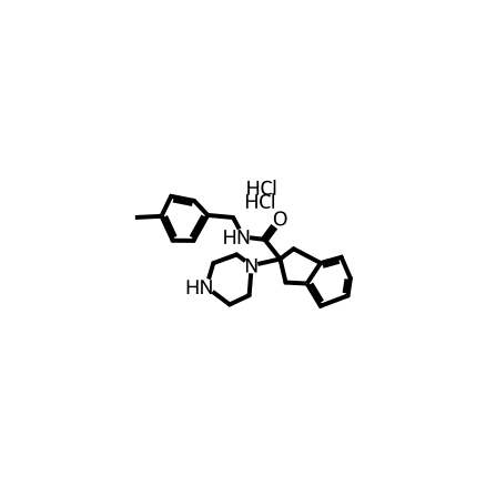 Cc1ccc(CNC(=O)C2(N3CCNCC3)Cc3ccccc3C2)cc1.Cl.Cl